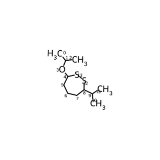 CC(C)OC1CCCC(C(C)C)SS1